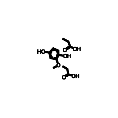 CCC(=O)O.CCC(=O)O.COc1cc(O)ccc1O